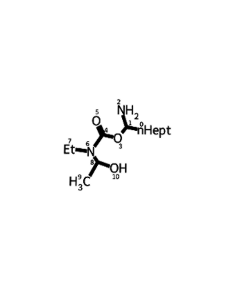 CCCCCCCC(N)OC(=O)N(CC)C(C)O